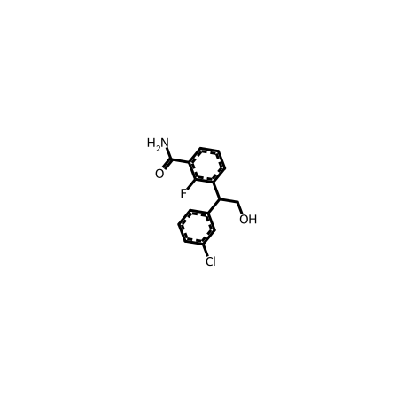 NC(=O)c1cccc(C(CO)c2cccc(Cl)c2)c1F